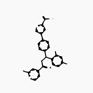 Cc1cc(/C(CC(c2ccc(-c3csc(C(=O)O)c3)cc2)c2ccc(Cl)cc2F)=N/O)ccn1